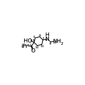 CC(C)C(=O)C1(O)CCC(NCN)CC1